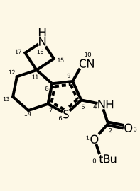 CC(C)(C)OC(=O)Nc1sc2c(c1C#N)C1(CCC2)CNC1